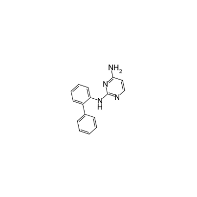 Nc1ccnc(Nc2ccccc2-c2ccccc2)n1